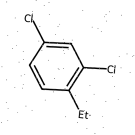 C[CH]c1ccc(Cl)cc1Cl